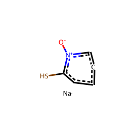 [Na].[O-][n+]1ccccc1S